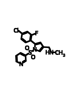 CNCc1cc(-c2ccc(Cl)cc2F)n(S(=O)(=O)c2cccnc2)c1